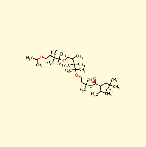 CC(C)OCCC(C)(C)C(C)(C)OCC(C)C(C)(C)C(C)(C)OCCC(C)(C)OC(=O)C(CC(C)(C)C)C(C)C